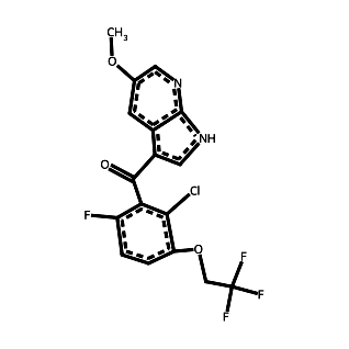 COc1cnc2[nH]cc(C(=O)c3c(F)ccc(OCC(F)(F)F)c3Cl)c2c1